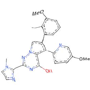 COc1ccc(-c2c(-c3cccc(OC)c3C)cn3nc(-c4nccn4C)nc(O)c23)nc1